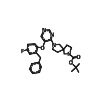 CC(C)(C)OC(=O)N1CCC2(CCN(c3ncncc3Oc3ccc(F)cc3Cc3ccccc3)C2)C1